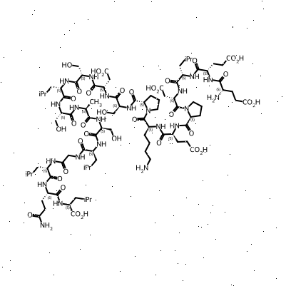 CC(C)C[C@H](NC(=O)[C@H](CCC(N)=O)NC(=O)[C@H](CC(C)C)NC(=O)CNC(=O)[C@H](CC(C)C)NC(=O)[C@H](CO)NC(=O)[C@H](C)NC(=O)[C@H](CO)NC(=O)[C@H](CC(C)C)NC(=O)[C@H](CO)NC(=O)[C@H](CC(=O)O)NC(=O)[C@H](CO)NC(=O)[C@@H]1CCCN1C(=O)[C@H](CCCCN)NC(=O)[C@H](CCC(=O)O)NC(=O)[C@@H]1CCCN1C(=O)[C@H](CC(=O)O)NC(=O)[C@H](CC(C)C)NC(=O)[C@H](CCC(=O)O)NC(=O)[C@@H](N)CCC(=O)O)C(=O)O